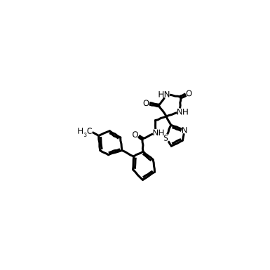 Cc1ccc(-c2ccccc2C(=O)NCC2(c3nccs3)NC(=O)NC2=O)cc1